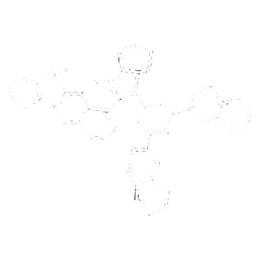 CC1(C)c2ccccc2-c2cc3c4c(c5c(cc4c21)c1ccccc1n5-c1cc(-c2ccc4ccccc4c2)nc(-c2ccc4ccccc4c2)c1)CC=C3